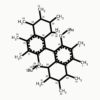 Cc1c(C)c2c(c(-c3c(OC(C)(C)C)c(C)c(C)c4c3C(C)C(C)C(C)C4C)c1OC(C)(C)C)C(C)C(C)C(C)C2C